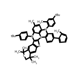 Cc1cc2c3c(c1)N(c1ccc(C(C)(C)C)cc1)c1c(sc4cc5c(cc14)C(C)(C)CCC5(C)C)B3c1ccc(-c3ccccc3C)cc1N2c1ccc(C(C)(C)C)cc1C